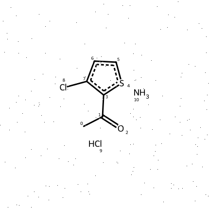 CC(=O)c1sccc1Cl.Cl.N